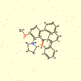 CCOc1cccc(C(=O)c2c(-c3ccccc3)ccc3ccccc23)c1N1CCCC1